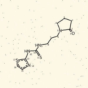 O=C1CCCN1CCCNC(=S)Nc1nccs1